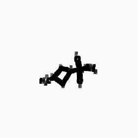 CC1CC(S(N)(=O)=O)C1